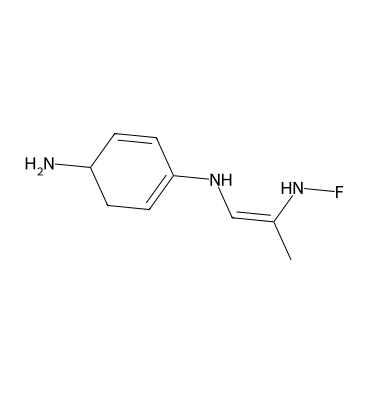 C/C(=C/NC1=CCC(N)C=C1)NF